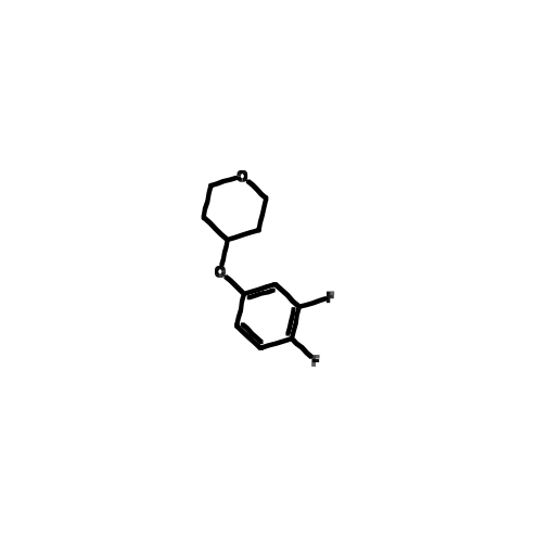 Fc1ccc(OC2CCOCC2)cc1F